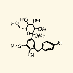 CCc1ccc(Cc2cc([C@]3(OC)O[C@H](CO)[C@@H](O)[C@H](O)[C@H]3O)cc(SC)c2C#N)cc1